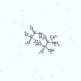 NC(=O)P(=O)([O-])O.NC(=O)P(=O)([O-])O.[Ca+2]